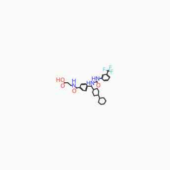 O=C(O)CCNC(=O)c1ccc(C(NC(=O)Nc2cccc(C(F)(F)F)c2)C2CCC(C3CCCCC3)CC2)cc1